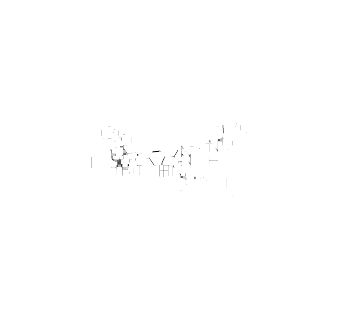 C=CCOC(=O)Nc1nn(CCCNC(=O)OC(C)(C)C)cc1-c1ccc(OCC(O[Si](C)(C)C(C)(C)C)C(=O)OC(C)(C)C)cc1F